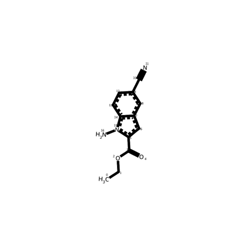 CCOC(=O)c1cc2cc(C#N)ccc2n1N